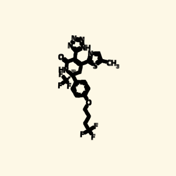 Cc1cnc(C2=C(c3nnn[nH]3)C(=O)N[C@@](c3ccc(OCCCC(F)(F)F)cc3)(C(F)(F)F)C2)s1